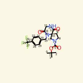 CC(C)(C)OC(=O)N1CC[C@]2(C1)C(=O)NCC(=O)N2Cc1ccc(C(F)(F)F)cc1